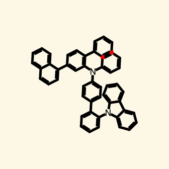 c1ccc(-c2ccc(-c3cccc4ccccc34)cc2N(c2ccccc2)c2ccc(-c3ccccc3-n3c4ccccc4c4ccccc43)cc2)cc1